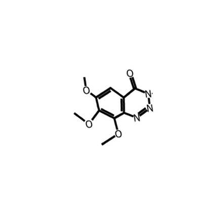 COc1cc2c(c(OC)c1OC)N=N[N]C2=O